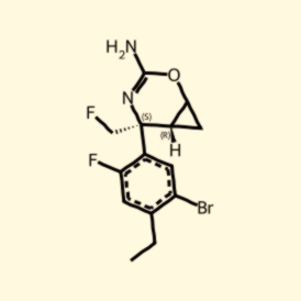 CCc1cc(F)c([C@@]2(CF)N=C(N)OC3C[C@@H]32)cc1Br